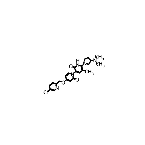 Cc1cc(-n2ccc(OCc3ccc(Cl)cn3)cc2=O)c(=O)[nH]c1N1CCC(N(C)C)C1